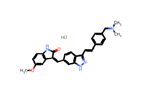 COc1ccc2c(c1)C(=Cc1ccc3c(C=Cc4ccc(CN(C)C)cc4)n[nH]c3c1)C(=O)N2.Cl